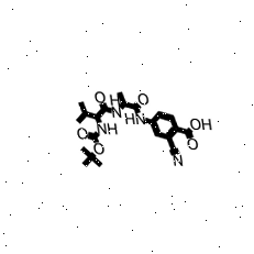 CC(NC(=O)C(NC(=O)OC(C)(C)C)C(C)C)C(=O)Nc1ccc(C(=O)O)c(C#N)c1